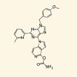 COc1ccc(Cn2cnc3c(-n4ccc5c(OC(N)=O)nccc54)nc(-c4cccc(C)n4)nc32)cc1